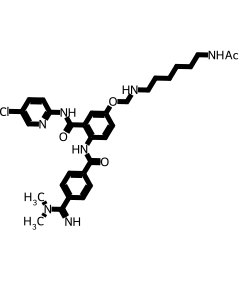 CC(=O)NCCCCCCNCOc1ccc(NC(=O)c2ccc(C(=N)N(C)C)cc2)c(C(=O)Nc2ccc(Cl)cn2)c1